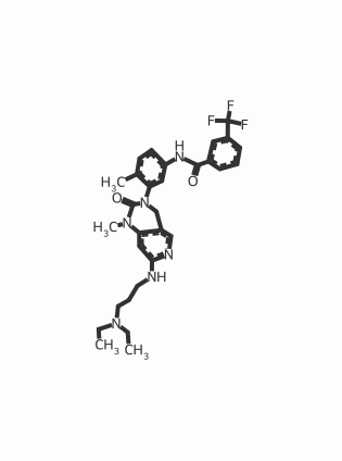 CCN(CC)CCCNc1cc2c(cn1)CN(c1cc(NC(=O)c3cccc(C(F)(F)F)c3)ccc1C)C(=O)N2C